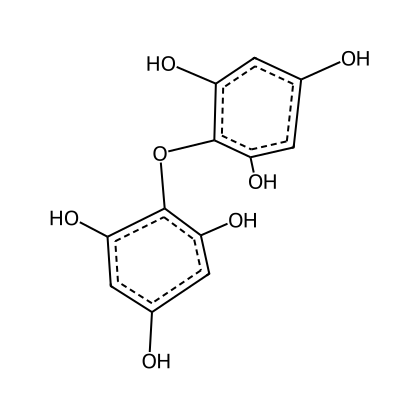 Oc1cc(O)c(Oc2c(O)cc(O)cc2O)c(O)c1